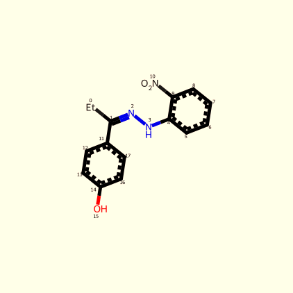 CC/C(=N/Nc1ccccc1[N+](=O)[O-])c1ccc(O)cc1